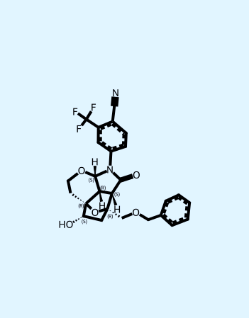 N#Cc1ccc(N2C(=O)[C@H]3[C@H]4[C@@H]2OCC[C@@]42O[C@]3(COCc3ccccc3)C[C@@H]2O)cc1C(F)(F)F